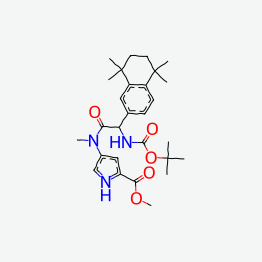 COC(=O)c1cc(N(C)C(=O)C(NC(=O)OC(C)(C)C)c2ccc3c(c2)C(C)(C)CCC3(C)C)c[nH]1